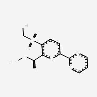 CCS(=O)(=O)c1ccc(-c2ncccn2)nc1C(=O)OC